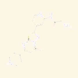 NCC(=O)Nc1cc(-c2nn3c(=O)cc(C4CCNCC4)nc3s2)ccn1